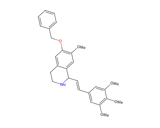 COc1cc2c(cc1OCc1ccccc1)CCNC2C=Cc1cc(OC)c(OC)c(OC)c1